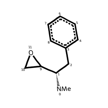 CN[C@@H](Cc1ccccc1)C1CO1